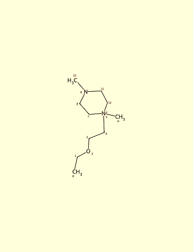 CCOCC[N+]1(C)CCN(C)CC1